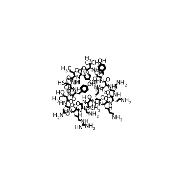 CC[C@H](C)[C@H](NC(=O)[C@@H]1C[C@@H](O)CN1C(=O)[C@@H](N)C(C)C)C(=O)N[C@H](C(=O)N[C@@H](Cc1ccc(O)cc1)C(=O)N[C@H](C(=O)N[C@@H](CC(N)=O)C(=O)N[C@@H](CCCNC(=N)N)C(=O)N[C@@H](CCN)C(=O)N[C@H](C(=O)N[C@H](CCN)C(=O)N[C@@H](CCCCN)C(=O)N[C@@H](CCN)C(=O)N[C@@H](CCN)C(=O)N[C@@H](CS)C(=O)N[C@@H](Cc1ccc(O)cc1)C(=O)O)[C@@H](C)O)[C@@H](C)O)C(C)(C)S